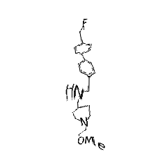 COCCN1CCC(NCc2ccc(-c3ccc(CF)cc3)cc2)CC1